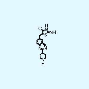 N=C1NC(=O)C(=Cc2ccc3nc(C4CCNCC4)ncc3c2)S1